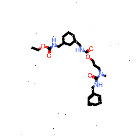 CCOC(=O)NCC1CCCC(CNC(=O)OCCCN(C)C(=O)NCc2ccccc2)C1